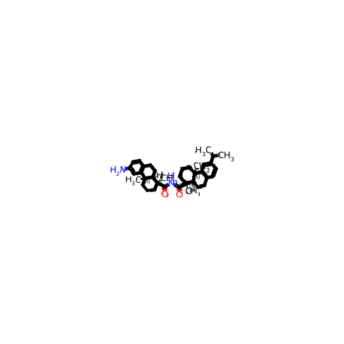 CC(C)c1ccc2c(c1)[C@@]1(C)CCC[C@](C)(C(=O)NC(=O)[C@@]3(C)CCC[C@]4(C)c5cc(N)ccc5CC[C@@H]34)[C@@H]1CC2